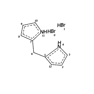 Br.Br.c1c[nH]c(Cc2ccc[nH]2)c1